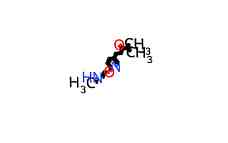 CCNCCOc1ccc(CCC(=O)C(C)C)cn1